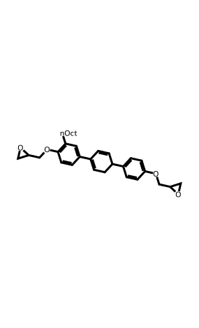 CCCCCCCCc1cc(C2=CCC(c3ccc(OCC4CO4)cc3)C=C2)ccc1OCC1CO1